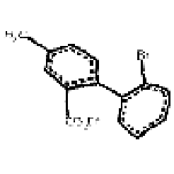 CCOC(=O)c1cc(C)ccc1-c1ccccc1Br